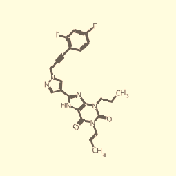 CCCn1c(=O)c2[nH]c(-c3cnn(CC#Cc4ccc(F)cc4F)c3)nc2n(CCC)c1=O